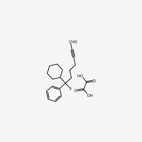 O=C(O)C(=O)O.O=CC#CCCCC(F)(c1ccccc1)C1CCCCC1